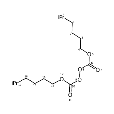 CC(C)CCCCOC(=O)OOC(=O)OCCCCC(C)C